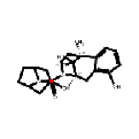 CC1(C)[C@H]2Cc3c(O)cccc3[C@]1(C)CCN2C(=O)N1C2CCC1CC(O)C2